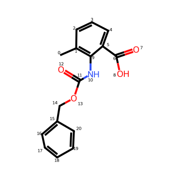 Cc1cccc(C(=O)O)c1NC(=O)OCc1ccccc1